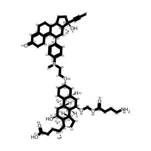 CC#C[C@@]1(O)CCC2C3CCC4=CC(=O)CCC4=C3[C@H](c3ccc(N(C)CCO[C@H]4CC[C@@]5(C)[C@@H](C4)C[C@@H](OCOC(=O)CCCN)[C@@H]4[C@@H]5C[C@H](O)[C@]5(C)[C@@H]([C@H](C)CCC(=O)O)CC[C@@H]45)cc3)C[C@@]21C